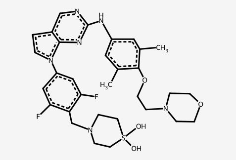 Cc1cc(Nc2ncc3ccn(-c4cc(F)c(CN5CCS(O)(O)CC5)c(F)c4)c3n2)cc(C)c1OCCN1CCOCC1